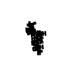 Cc1ccc(-c2nccc3[nH]c(-c4n[nH]c5cc(F)c(-c6cncc(NC(=O)C7CC7)c6)cc45)nc23)s1